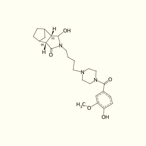 COc1cc(C(=O)N2CCN(CCCCN3C(=O)[C@@H]4C5CCC(C5)[C@@H]4C3O)CC2)ccc1O